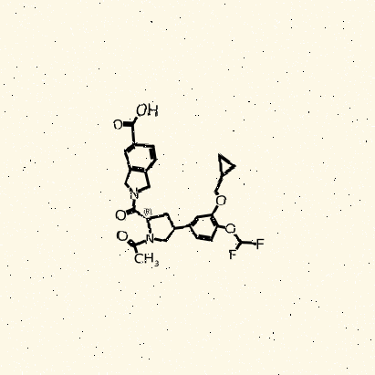 CC(=O)N1CC(c2ccc(OC(F)F)c(OCC3CC3)c2)C[C@@H]1C(=O)N1Cc2ccc(C(=O)O)cc2C1